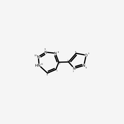 C1=CC(c2conn2)=NN=NN1